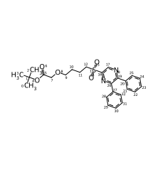 CC(C)(C)OC(=O)COCCCCS(=O)(=O)c1cnc(-c2ccccc2)c(-c2ccccc2)n1